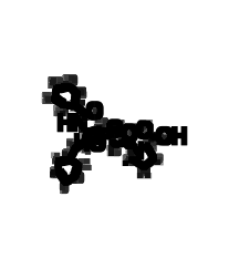 O=C(NC(CCc1ccccc1)CP(=O)(O)CC(=O)N1CCC[C@H]1C(=O)O)c1ccccc1